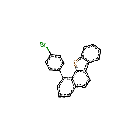 Brc1ccc(-c2cccc3ccc4c5ccccc5sc4c23)cc1